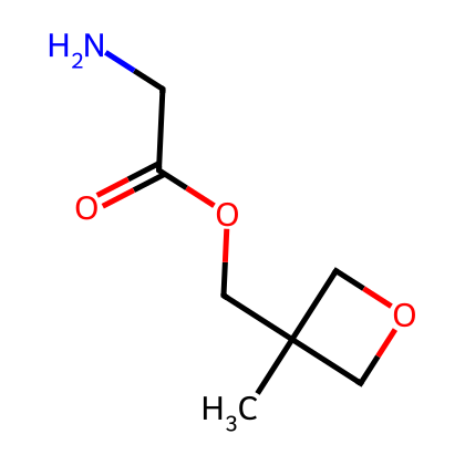 CC1(COC(=O)CN)COC1